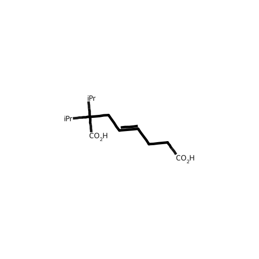 CC(C)C(CC=CCCC(=O)O)(C(=O)O)C(C)C